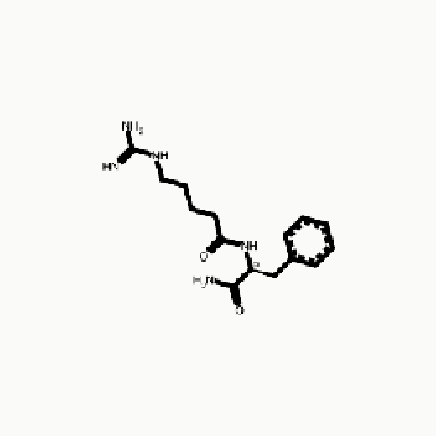 N=C(N)NCCCCC(=O)N[C@@H](Cc1ccccc1)C(N)=O